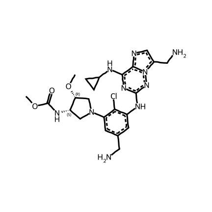 COC(=O)N[C@H]1CN(c2cc(CN)cc(Nc3nc(NC4CC4)c4ncc(CN)n4n3)c2Cl)C[C@H]1OC